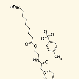 CCCCCCCCCCCCCCCCCC(=O)OCCNC(=O)C[n+]1ccccc1.Cc1ccc(S(=O)(=O)[O-])cc1